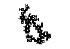 CC/C(O)=C(/C(=N)CCOc1nc2c(c(OC)n1)CN(c1nc(-c3cc(OC[C@H](O)CNC)ccc3Cl)nc(-c3c(C)noc3C)c1C)C2)c1nc(-c2cc(OC[C@H](O)CNC)ccc2Cl)nc(N2Cc3cccnc3C2)c1C